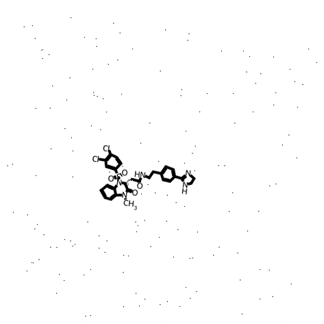 CN1C(=O)[C@@H](CC(=O)NCCc2ccc(C3=NCCN3)cc2)N(S(=O)(=O)c2ccc(Cl)c(Cl)c2)c2ccccc21